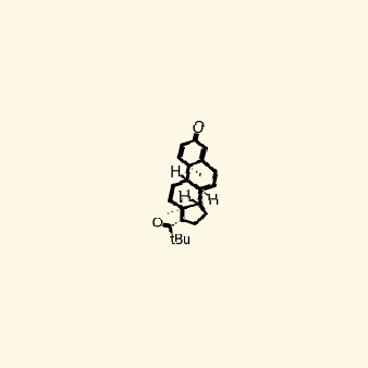 CC(C)(C)C(=O)[C@H]1CC[C@H]2[C@@H]3CCC4=CC(=O)C=C[C@]4(C)[C@H]3CC[C@]12C